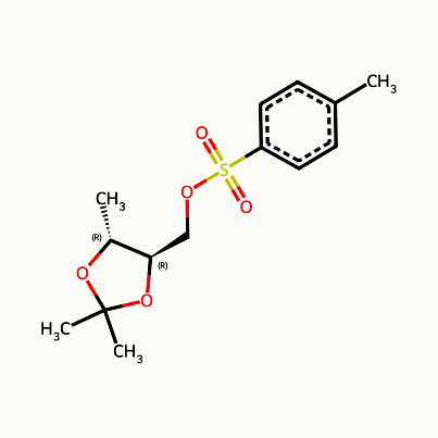 Cc1ccc(S(=O)(=O)OC[C@H]2OC(C)(C)O[C@@H]2C)cc1